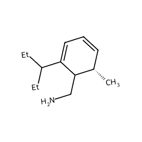 CCC(CC)C1=CC=C[C@H](C)C1CN